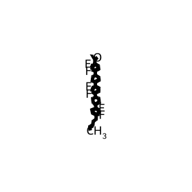 C/C=C/CCc1ccc(C2=CCC(c3ccc(C4=CCC(c5ccc(C6CO6)c(F)c5F)CC4)c(F)c3F)CC2)c(F)c1F